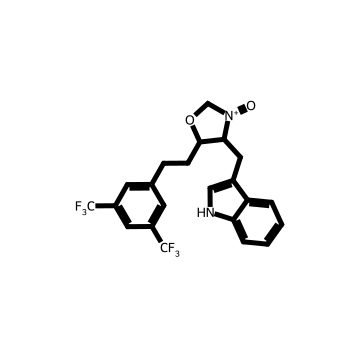 O=[N+]1COC(CCc2cc(C(F)(F)F)cc(C(F)(F)F)c2)C1Cc1c[nH]c2ccccc12